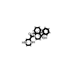 O=C(C1CNCCN1)N1CC[C@](O)(c2ccccc2)[C@H]2CCCC[C@H]21